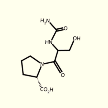 NC(=O)NC(CO)C(=O)N1CCC[C@H]1C(=O)O